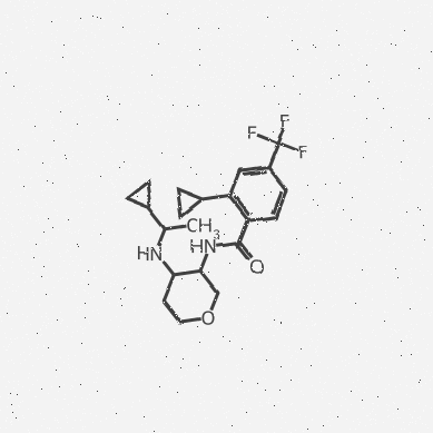 CC(NC1CCOCC1NC(=O)c1ccc(C(F)(F)F)cc1C1CC1)C1CC1